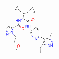 CCc1[nH]nc(C)c1-c1ccc(NC(=O)C(NC(=O)c2ccnn2CCOC)C(C2CC2)C2CC2)cn1